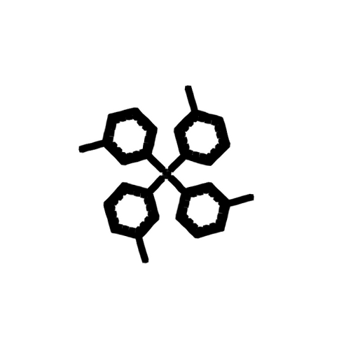 Cc1cccc([Si](c2cccc(C)c2)(c2cccc(C)c2)c2cccc(C)c2)c1